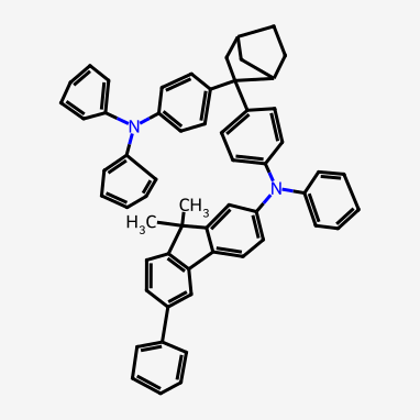 CC1(C)c2ccc(-c3ccccc3)cc2-c2ccc(N(c3ccccc3)c3ccc(C4(c5ccc(N(c6ccccc6)c6ccccc6)cc5)CC5CCC4C5)cc3)cc21